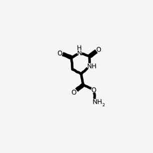 NOC(=O)C1CC(=O)NC(=O)N1